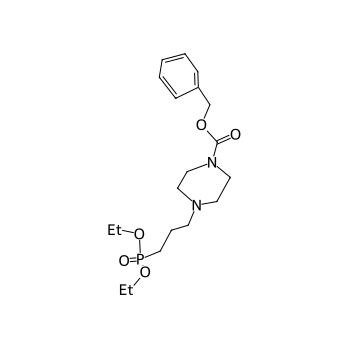 CCOP(=O)(CCCN1CCN(C(=O)OCc2ccccc2)CC1)OCC